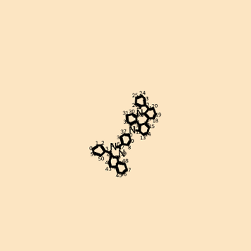 c1ccc(-c2nc(-c3ccc(-n4c5cccc6c7cccc8c9ccccc9n(c9cccc4c9c65)c78)cc3)nc3c2ccc2ccccc23)cc1